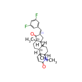 CN1C(=O)C=C[C@]2(C)[C@H]3CC[C@]4(C)C(=O)/C(=C\c5cc(F)cc(F)c5)C[C@H]4[C@@H]3CC[C@@H]12